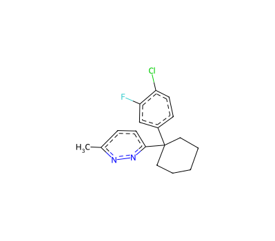 Cc1ccc(C2(c3ccc(Cl)c(F)c3)CCCCC2)nn1